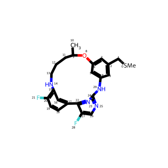 CSCc1cc2cc(c1)OC(C)CCCNc1cc(ccc1F)-c1nc(ncc1F)N2